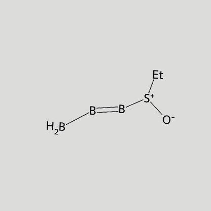 BB=B[S+]([O-])CC